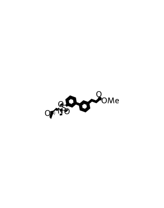 COC(=O)CCc1cccc(-c2cccc(S(=O)(=O)N(C)C[C@H]3CO3)c2)c1